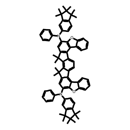 CC1(C)c2cc(N(c3ccccc3)c3ccc4c(c3)C(C)(C)C(C)(C)C4(C)C)c3oc4ccccc4c3c2-c2ccc3c(c21)C(C)(C)c1cc(N(c2ccccc2)c2ccc4c(c2)C(C)(C)C(C)(C)C4(C)C)c2oc4ccccc4c2c1-3